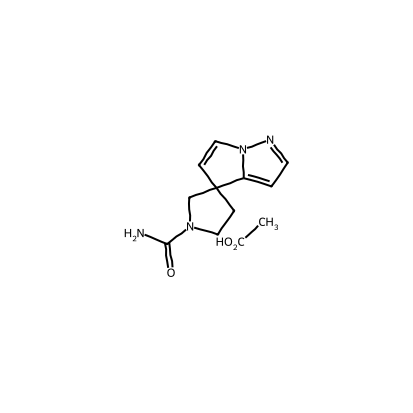 CC(=O)O.NC(=O)N1CCC2(C=Cn3nccc32)C1